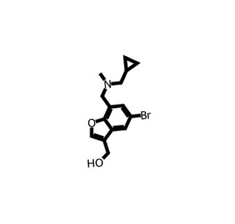 CN(Cc1cc(Br)cc2c(CO)coc12)CC1CC1